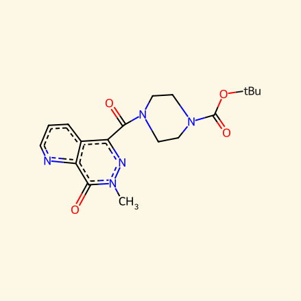 Cn1nc(C(=O)N2CCN(C(=O)OC(C)(C)C)CC2)c2cccnc2c1=O